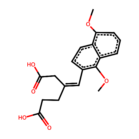 COc1cccc2c(OC)c(C=C(CCC(=O)O)CC(=O)O)ccc12